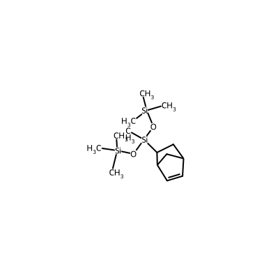 C[Si](C)(C)O[Si](C)(O[Si](C)(C)C)C1CC2C=CC1C2